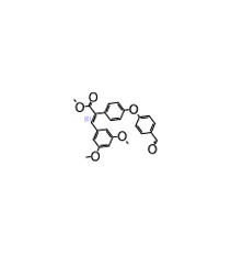 COC(=O)/C(=C/c1cc(OC)cc(OC)c1)c1ccc(Oc2ccc(C=O)cc2)cc1